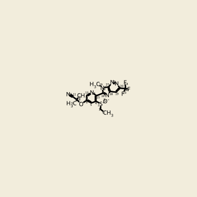 CC[S@@+]([O-])c1cc(OC(C)(C)C#N)cnc1-c1nc2cc(C(F)(F)F)nnc2n1C